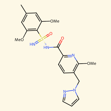 COc1cc(C)cc(OC)c1[S@](=N)(=O)NC(=O)c1ccc(Cn2cccn2)c(OC)n1